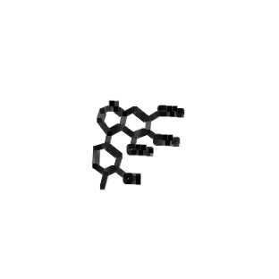 COc1cc2nccc(-c3ccc(C)c(O)c3)c2c(OC)c1OC